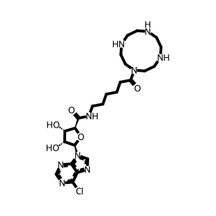 O=C(NCCCCCC(=O)N1CCNCCNCCNCC1)[C@H]1O[C@@H](n2cnc3c(Cl)ncnc32)[C@H](O)[C@@H]1O